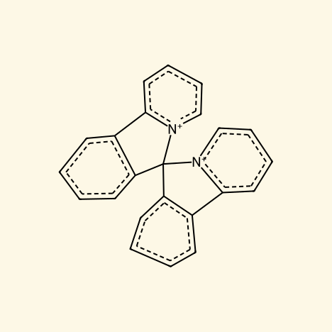 c1ccc2c(c1)-c1cccc[n+]1C21c2ccccc2-c2cccc[n+]21